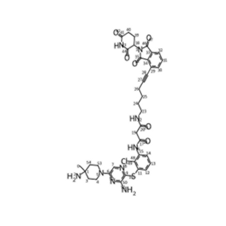 CC1(N)CCN(c2cnc(Sc3cccc(NC(=O)CC(=O)NCCCCC#Cc4cccc5c4C(=O)N(C4CCC(=O)NC4=O)C5=O)c3Cl)c(N)n2)CC1